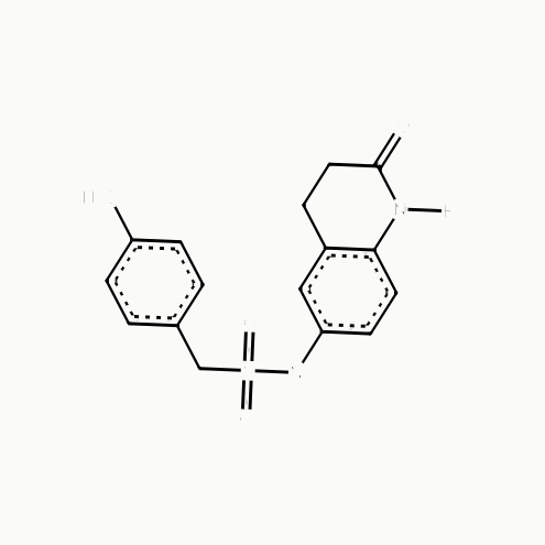 CCN1C(=O)CCc2cc(NS(=O)(=O)Cc3ccc(C)cc3)ccc21